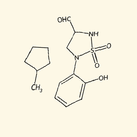 CC1CCCC1.O=CC1CN(c2ccccc2O)S(=O)(=O)N1